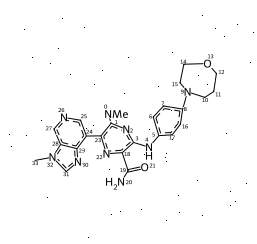 CNc1nc(Nc2ccc(N3CCCOCC3)cc2)c(C(N)=O)nc1-c1cncc2c1ncn2C